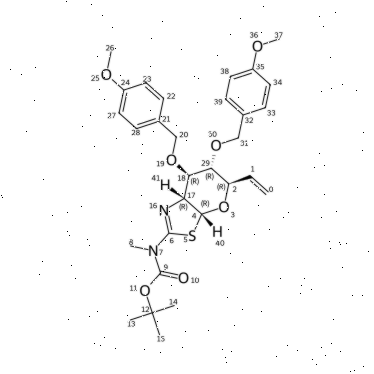 C=C[C@H]1O[C@@H]2SC(N(C)C(=O)OC(C)(C)C)=N[C@@H]2[C@@H](OCc2ccc(OC)cc2)[C@@H]1OCc1ccc(OC)cc1